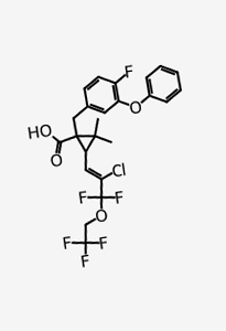 CC1(C)C(C=C(Cl)C(F)(F)OCC(F)(F)F)C1(Cc1ccc(F)c(Oc2ccccc2)c1)C(=O)O